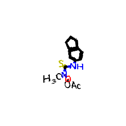 CC(=O)OON(C)C(=S)Nc1ccc2c(c1)CCC2